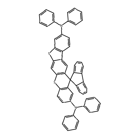 c1ccc(N(c2ccccc2)c2ccc3c(c2)C2(c4cc5c(cc4S3)sc3cc(N(c4ccccc4)c4ccccc4)ccc35)c3ccccc3-c3ccccc32)cc1